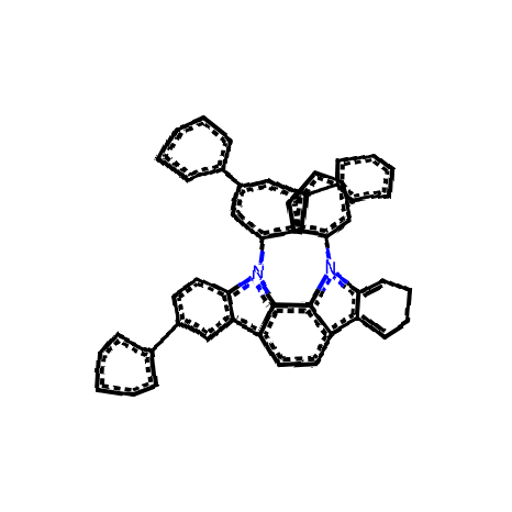 C1=c2c(n(-c3ccccc3)c3c2ccc2c4cc(-c5ccccc5)ccc4n(-c4cc(-c5ccccc5)cc(-c5ccccc5)c4)c23)=CCC1